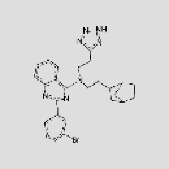 Brc1cccc(-c2nc(N(CCc3nn[nH]n3)CCC3CC4CCC3C4)c3ccccc3n2)c1